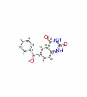 O=C(c1ccccc1)c1ccc2[nH]c(=O)[nH]c(=O)c2c1